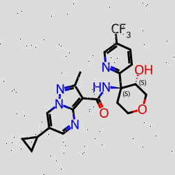 Cc1nn2cc(C3CC3)cnc2c1C(=O)N[C@]1(c2ccc(C(F)(F)F)cn2)CCOC[C@H]1O